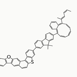 C/C=C\C=C(/C)c1ccccccc(-c2ccc3c(c2)C(C)(C)c2cc(-c4ccc5c(c4)sc4ccc6cc7c8c(oc7cc6c45)CCC=C8)ccc2-3)c2ccccc12